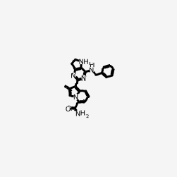 Cc1cn2c(C(N)=O)cccc2c1-c1nc2c(c(NCc3ccccc3)n1)NCC2